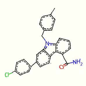 Cc1ccc(Cn2c3cc(-c4ccc(Cl)cc4)c[c]c3c3c(C(N)=O)cccc32)cc1